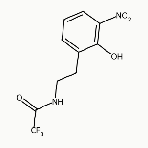 O=C(NCCc1cccc([N+](=O)[O-])c1O)C(F)(F)F